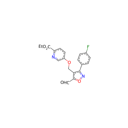 CCOC(=O)c1ccc(OCc2c(-c3ccc(F)cc3)noc2C=O)cn1